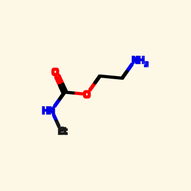 CCNC(=O)OCCN